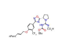 CCCCCC=CCOc1ccc(-c2noc([C@@H]3CCCN3/C(=N/C(=O)O)NC(=O)OC(C)(C)C)n2)cc1C(F)(F)F